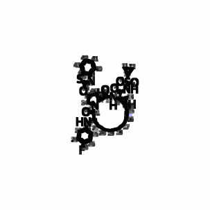 O=C1N[C@]2(C(=O)NS(=O)(=O)C3CC3)C[C@H]2/C=C\CCCCC[C@H](Nc2ccc(F)cc2)C(=O)N2C[C@H](Oc3nc4ccccc4s3)C[C@@H]12